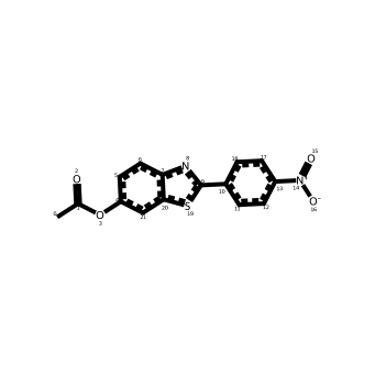 CC(=O)Oc1ccc2nc(-c3ccc([N+](=O)[O-])cc3)sc2c1